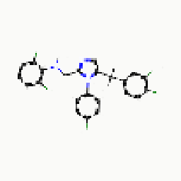 CN(Cc1ncc(C(C)(C)c2ccc(Cl)c(Cl)c2)n1-c1ccc(F)cc1)c1c(F)cccc1Cl